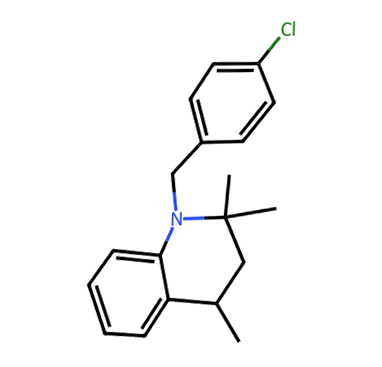 CC1CC(C)(C)N(Cc2ccc(Cl)cc2)c2ccccc21